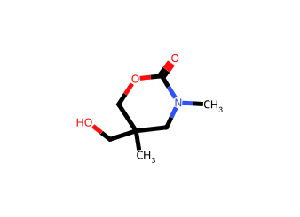 CN1CC(C)(CO)COC1=O